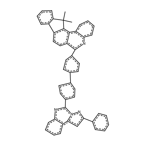 CC1(C)c2ccccc2-c2ccc3c(-c4ccc(-c5ccc(-c6nc7ccccc7c7cc(-c8ccccc8)nn67)cc5)cc4)nc4ccccc4c3c21